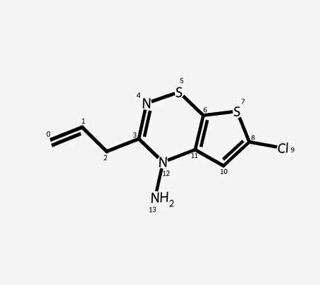 C=CCC1=NSc2sc(Cl)cc2N1N